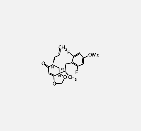 C=CC[C@H]1C[C@]2([C@H](C)Cc3c(F)cc(OC)cc3F)OCOC2=CC1=O